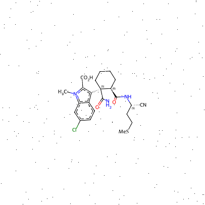 CSCC[C@@H](C#N)NC(=O)[C@@H]1CCCC[C@@]1(C(N)=O)c1c(C(=O)O)n(C)c2cc(Cl)ccc12